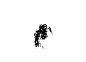 CN1CCN(C2CC(C(=O)Nc3cc(Nc4cc(-c5cc(Cl)ccc5F)nnc4N(C)CC4(C)C(=O)COC4=O)ccn3)C2)CC1